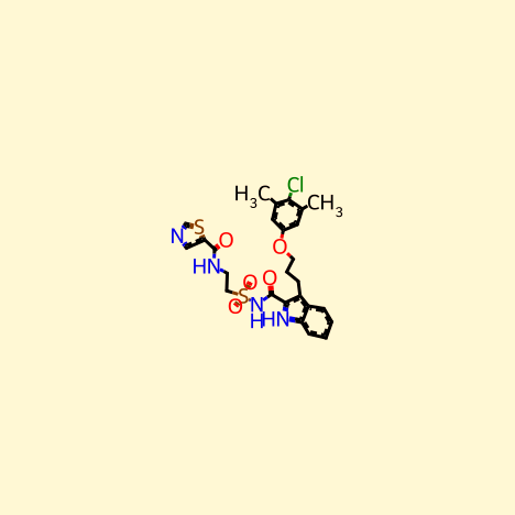 Cc1cc(OCCCc2c(C(=O)NS(=O)(=O)CCNC(=O)c3cncs3)[nH]c3ccccc23)cc(C)c1Cl